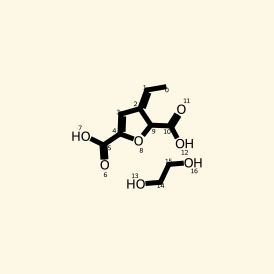 CC=C1C=C(C(=O)O)OC1C(=O)O.OCCO